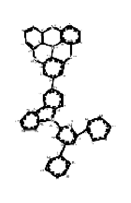 C1=CC2Sc3cccc4c3N3c5c(cc(-c6ccc7c(c6)c6ccccc6n7-c6cc(-c7ccccc7)cc(-c7ccccc7)n6)cc5S4)SC(=C1)C23